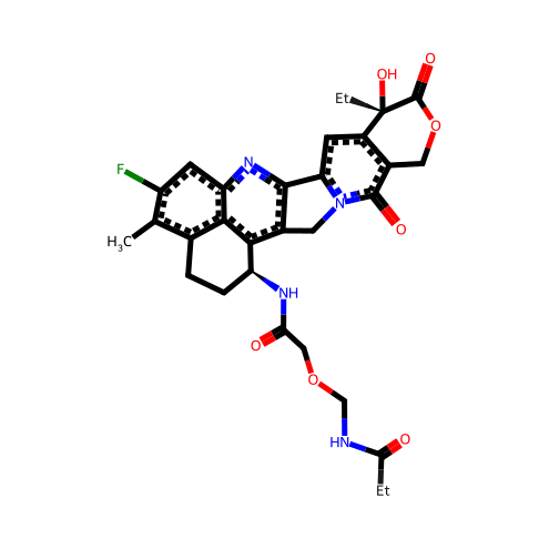 CCC(=O)NCOCC(=O)N[C@H]1CCc2c(C)c(F)cc3nc4c(c1c23)Cn1c-4cc2c(c1=O)COC(=O)[C@]2(O)CC